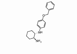 N[C@H]1CCCC[C@@H]1Nc1ccc(OCc2ccccc2)cc1